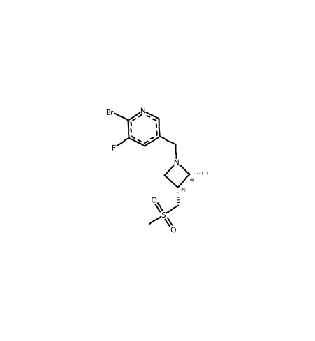 C[C@@H]1[C@H](CS(C)(=O)=O)CN1Cc1cnc(Br)c(F)c1